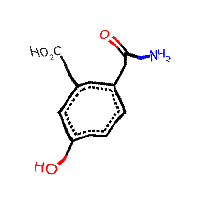 NC(=O)c1ccc(O)cc1C(=O)O